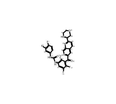 O=C(Nc1ccc(F)c(F)c1)Nc1cc(F)c(F)c(C(=O)c2cc3ccc(C4COCCN4)nc3cn2)c1F